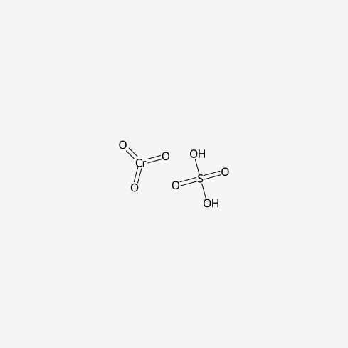 O=S(=O)(O)O.[O]=[Cr](=[O])=[O]